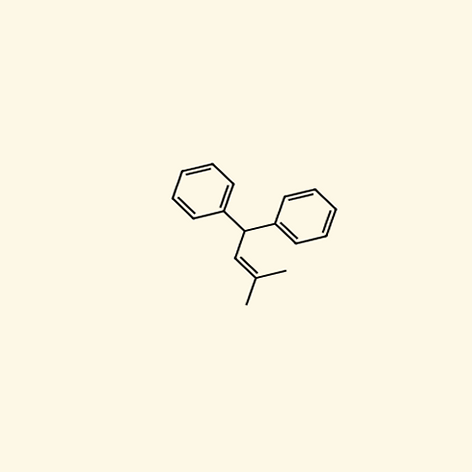 CC(C)=CC(c1ccccc1)c1ccccc1